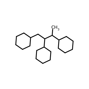 CC(C1CCCCC1)C(CC1CCCCC1)C1CCCCC1